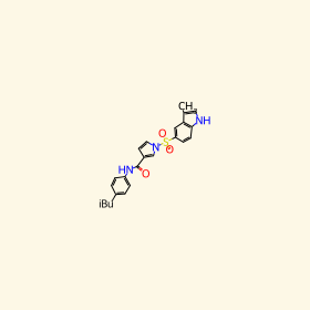 CCC(C)c1ccc(NC(=O)c2ccn(S(=O)(=O)c3ccc4[nH]cc(C)c4c3)c2)cc1